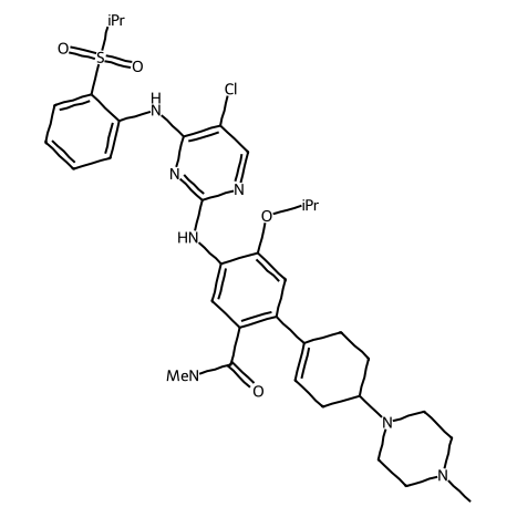 CNC(=O)c1cc(Nc2ncc(Cl)c(Nc3ccccc3S(=O)(=O)C(C)C)n2)c(OC(C)C)cc1C1=CCC(N2CCN(C)CC2)CC1